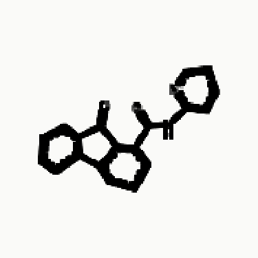 O=C(Nc1ccccn1)c1cccc2c1C(=O)c1ccccc1-2